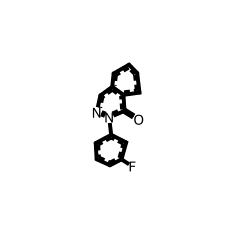 O=c1c2ccccc2cnn1-c1cccc(F)c1